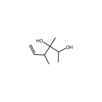 C=CC(C)C(C)(O)C(C)O